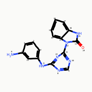 Nc1cccc(Nc2ncnc(-n3c(=O)[nH]c4ccccc43)n2)c1